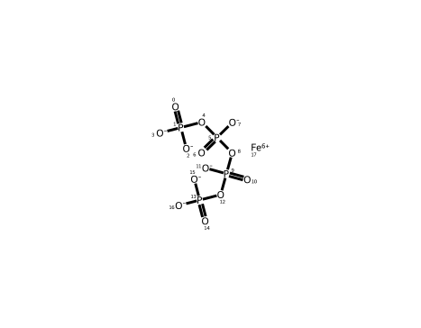 O=P([O-])([O-])OP(=O)([O-])OP(=O)([O-])OP(=O)([O-])[O-].[Fe+6]